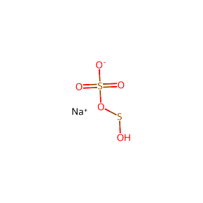 O=S(=O)([O-])OSO.[Na+]